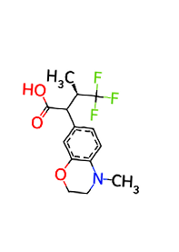 C[C@H](C(C(=O)O)c1ccc2c(c1)OCCN2C)C(F)(F)F